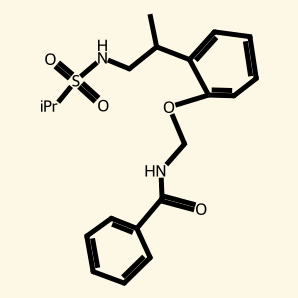 CC(CNS(=O)(=O)C(C)C)c1ccccc1OCNC(=O)c1ccccc1